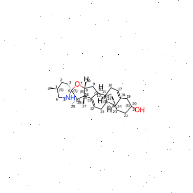 C[C@H]1CC[C@]2(NC1)O[C@@H]1C[C@@H]3C(=CC[C@H]4[C@H]3CC=C3C[C@@H](O)CC[C@@]34C)[C@]1(C)[C@@H]2C